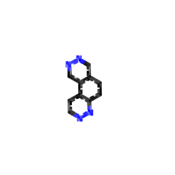 c1cc2c(ccc3cnncc32)nn1